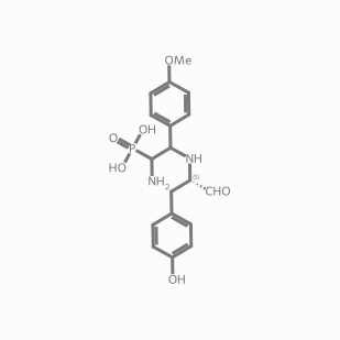 COc1ccc(C(N[C@H](C=O)Cc2ccc(O)cc2)C(N)P(=O)(O)O)cc1